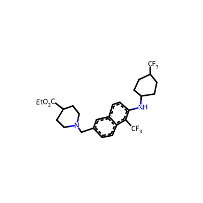 CCOC(=O)C1CCN(Cc2ccc3c(C(F)(F)F)c(NC4CCC(C(F)(F)F)CC4)ccc3c2)CC1